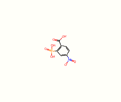 O=C(O)c1ccc([N+](=O)[O-])cc1P(=O)(O)O